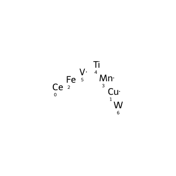 [Ce].[Cu].[Fe].[Mn].[Ti].[V].[W]